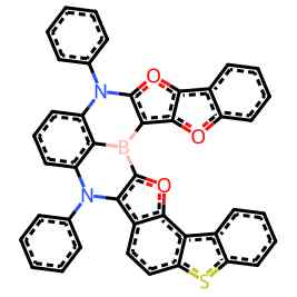 c1ccc(N2c3cccc4c3B(c3oc5c(ccc6sc7ccccc7c65)c3N4c3ccccc3)c3c2oc2c3oc3ccccc32)cc1